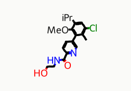 COc1c(C(C)C)cc(Cl)c(C)c1-c1ccc(C(=O)NCCO)nc1